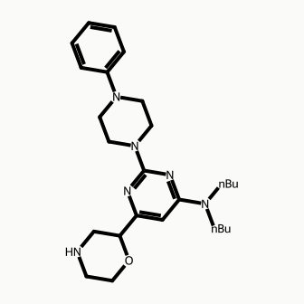 CCCCN(CCCC)c1cc(C2CNCCO2)nc(N2CCN(c3ccccc3)CC2)n1